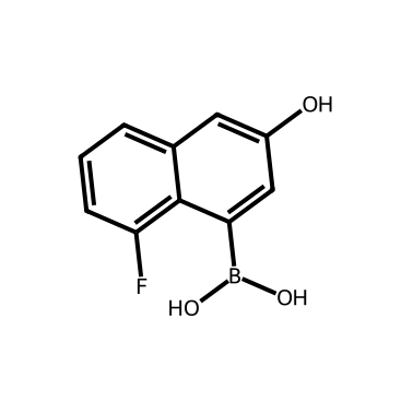 OB(O)c1cc(O)cc2cccc(F)c12